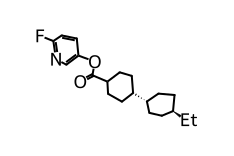 CC[C@H]1CC[C@H](C2CCC(C(=O)Oc3ccc(F)nc3)CC2)CC1